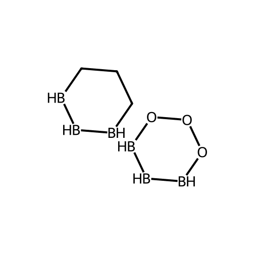 B1BCCCB1.B1BOOOB1